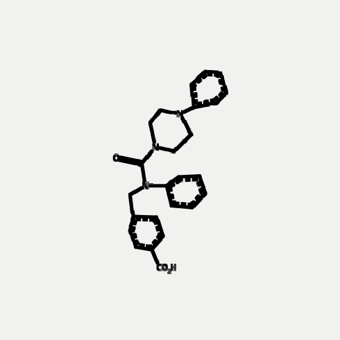 O=C(O)c1ccc(CN(C(=O)N2CCN(c3ccccc3)CC2)c2ccccc2)cc1